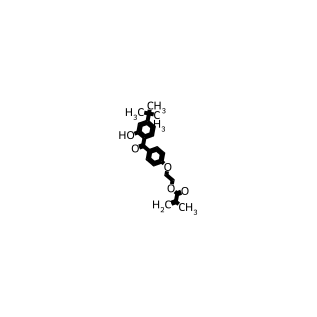 C=C(C)C(=O)OCCOc1ccc(C(=O)c2ccc(C(C)(C)C)cc2O)cc1